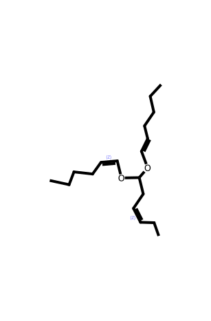 CC/C=C\CC(OC=CCCCC)O/C=C\CCCC